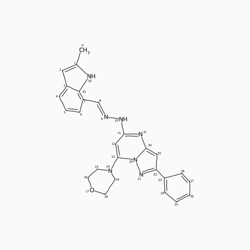 Cc1cc2cccc(/C=N/Nc3cc(N4CCOCC4)n4nc(-c5ccccc5)cc4n3)c2[nH]1